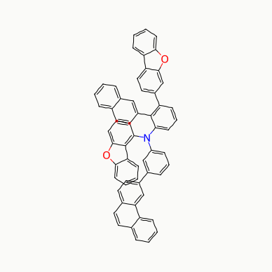 c1cc(-c2ccc3ccc4ccccc4c3c2)cc(N(c2cccc(-c3ccc4c(c3)oc3ccccc34)c2-c2ccc3ccccc3c2)c2cccc3oc4ccccc4c23)c1